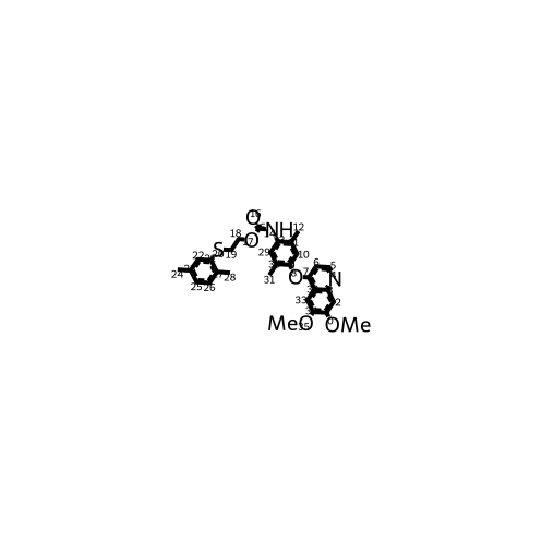 COc1cc2nccc(Oc3cc(C)c(NC(=O)OCCSc4cc(C)ccc4C)cc3C)c2cc1OC